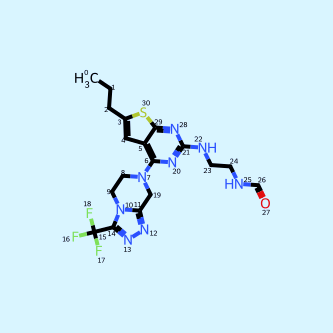 CCCc1cc2c(N3CCn4c(nnc4C(F)(F)F)C3)nc(NCCNC=O)nc2s1